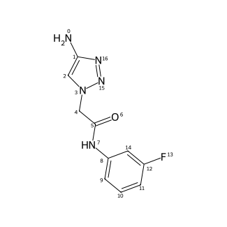 Nc1cn(CC(=O)Nc2cccc(F)c2)nn1